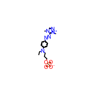 CCN(CCCOS(=O)(=O)[O-])c1ccc(N=Nc2n(C)cn[n+]2C)cc1